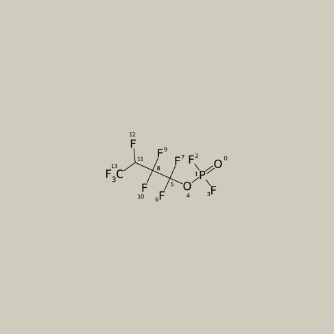 O=P(F)(F)OC(F)(F)C(F)(F)C(F)C(F)(F)F